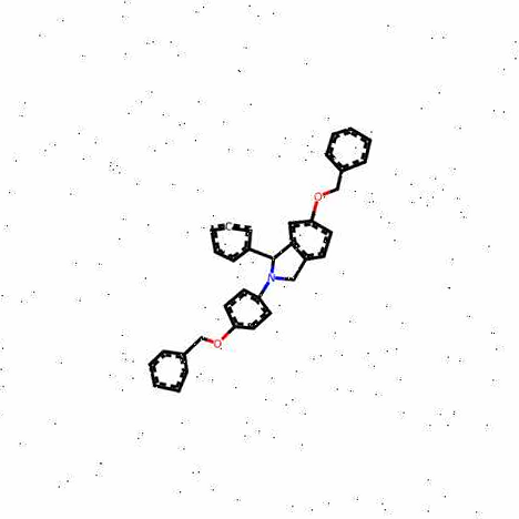 c1ccc(COc2ccc(N3Cc4ccc(OCc5ccccc5)cc4C3c3ccccc3)cc2)cc1